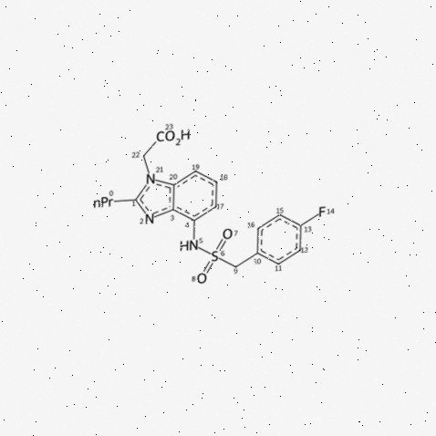 CCCc1nc2c(NS(=O)(=O)Cc3ccc(F)cc3)cccc2n1CC(=O)O